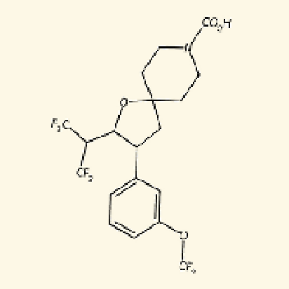 O=C(O)N1CCC2(CC1)CC(c1cccc(OC(F)(F)F)c1)C(C(C(F)(F)F)C(F)(F)F)O2